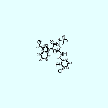 CC(C)(C)CN(CC(=O)NCc1cccc(Cl)c1F)C(=O)Cn1nc(C=O)c2ccccc21